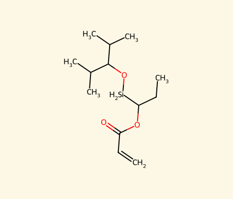 C=CC(=O)OC(CC)[SiH2]OC(C(C)C)C(C)C